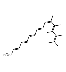 CCCCCCCCCCC=CC=CC=CC=CC=C(C)C(C)=C(C)C(C)=C(C)C